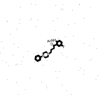 CC(=O)Nc1ccc(F)cc1C(=O)CCCN1CCN(c2ccccc2)CC1